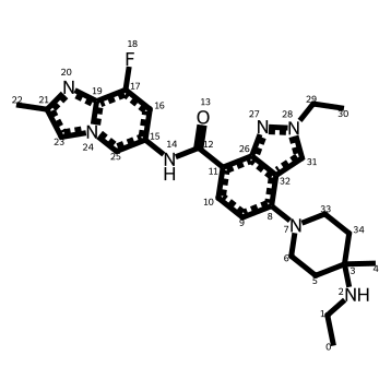 CCNC1(C)CCN(c2ccc(C(=O)Nc3cc(F)c4nc(C)cn4c3)c3nn(CC)cc23)CC1